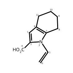 C=Cn1c(C(=O)O)cc2c1CCCC2